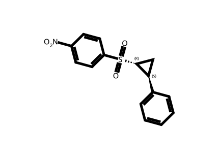 O=[N+]([O-])c1ccc(S(=O)(=O)[C@@H]2C[C@H]2c2ccccc2)cc1